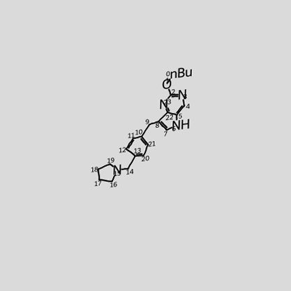 CCCCOc1ncc2[nH]cc(Cc3ccc(CN4CCCC4)cc3)c2n1